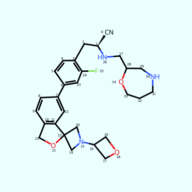 N#C[C@H](Cc1ccc(-c2ccc3c(c2)C2(CN(C4COC4)C2)OC3)cc1F)NCC1CNCCCO1